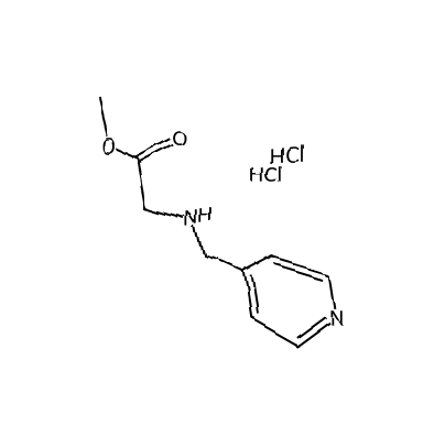 COC(=O)CNCc1ccncc1.Cl.Cl